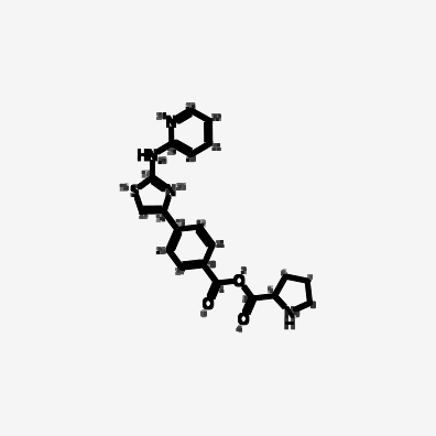 O=C(OC(=O)C1CCCN1)c1ccc(-c2csc(Nc3ccccn3)n2)cc1